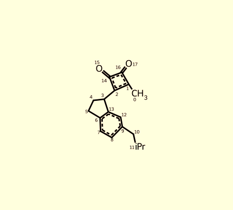 Cc1c(C2CCc3ccc(CC(C)C)cc32)c(=O)c1=O